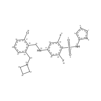 O=S(=O)(Nc1cscn1)c1c(F)cc(NCc2c(Cl)cccc2CN2CCC2)cc1F